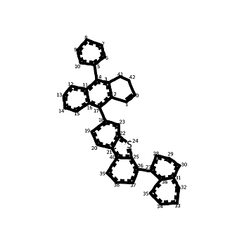 C1=Cc2c(c(-c3ccccc3)c3ccccc3c2-c2ccc3c(c2)sc2c(-c4cccc5ccccc45)cccc23)CC1